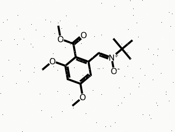 COC(=O)c1c(C=[N+]([O-])C(C)(C)C)cc(OC)cc1OC